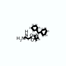 CC1(OC(=O)CC(=N)N)CN(C(c2ccccc2)c2ccccc2)C1